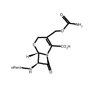 CCCCCN[C@@H]1C(=O)N2C(C(=O)O)=C(COC(N)=O)CS[C@@H]12